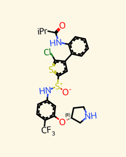 CC(C)C(=O)Nc1ccccc1-c1cc([S+]([O-])Nc2ccc(C(F)(F)F)c(O[C@@H]3CCNC3)c2)sc1Cl